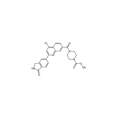 CCCOC(=O)N1CCN(C(=O)c2ccc3c(Cl)cc(-c4ccc5c(c4)CNC5=O)nc3c2)CC1